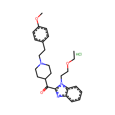 CCOCCn1c(C(=O)C2CCN(CCc3ccc(OC)cc3)CC2)nc2ccccc21.Cl